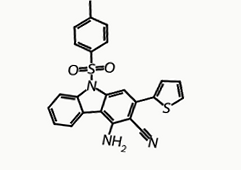 Cc1ccc(S(=O)(=O)n2c3ccccc3c3c(N)c(C#N)c(-c4cccs4)cc32)cc1